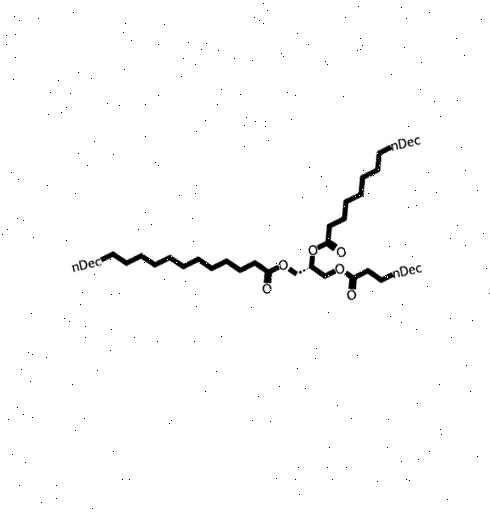 CCCCCCCCCCCCCCCCCCCCCC(=O)OC[C@@H](COC(=O)CCCCCCCCCCCC)OC(=O)CCCCCCCCCCCCCCCCC